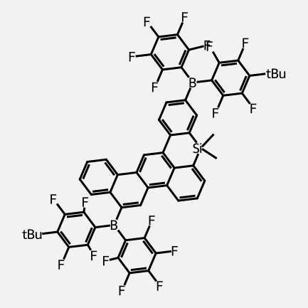 CC(C)(C)c1c(F)c(F)c(B(c2ccc3c(c2)[Si](C)(C)c2cccc4c2c-3cc2c3ccccc3c(B(c3c(F)c(F)c(F)c(F)c3F)c3c(F)c(F)c(C(C)(C)C)c(F)c3F)cc42)c2c(F)c(F)c(F)c(F)c2F)c(F)c1F